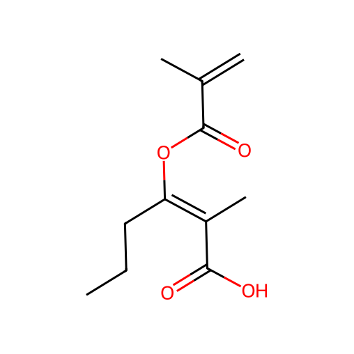 C=C(C)C(=O)OC(CCC)=C(C)C(=O)O